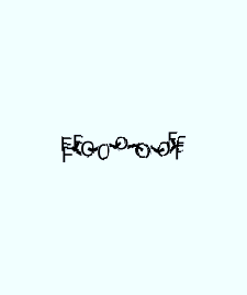 FC(F)(F)COCCOCCOCCOCCOCC(F)(F)F